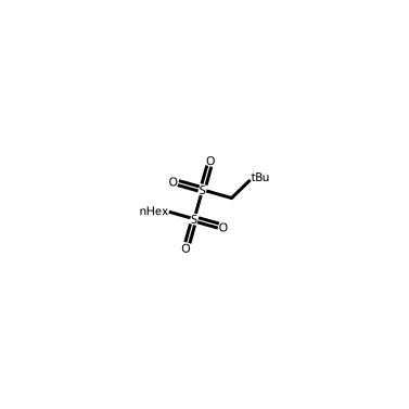 CCCCCCS(=O)(=O)S(=O)(=O)CC(C)(C)C